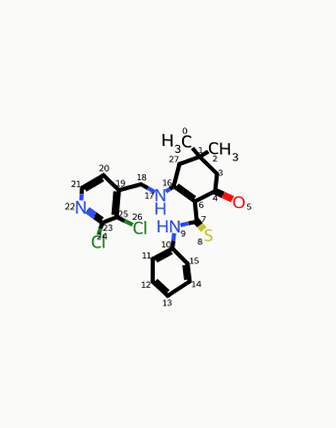 CC1(C)CC(=O)C(C(=S)Nc2ccccc2)=C(NCc2ccnc(Cl)c2Cl)C1